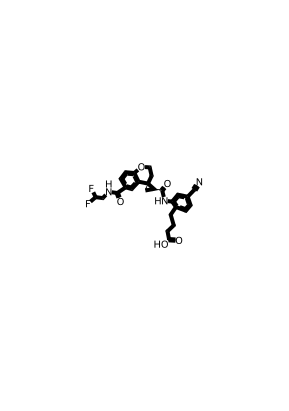 N#Cc1ccc(CCCC(=O)O)c(NC(=O)[C@@H]2C[C@]23CCOc2ccc(C(=O)NCC(F)F)cc23)c1